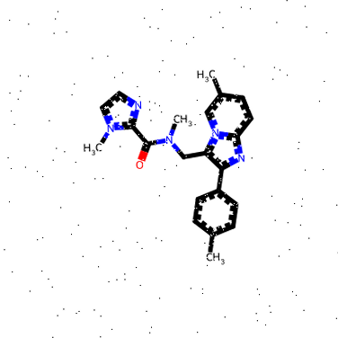 Cc1ccc(-c2nc3ccc(C)cn3c2CN(C)C(=O)c2nccn2C)cc1